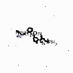 C=NN/C(CCOc1ccccc1N(C)C(=O)c1ccc(C)c(-c2cnc(C(C)(C)P)cc2C#N)c1)=N\C